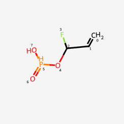 C=CC(F)O[PH](=O)O